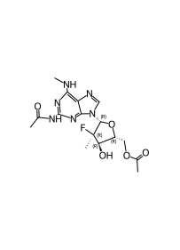 CNc1nc(NC(C)=O)nc2c1ncn2[C@@H]1O[C@H](COC(C)=O)[C@@H](O)[C@@]1(C)F